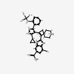 O=C(O)c1cc(F)c2nc(C3=C(c4c(-c5ccccc5OC(F)(F)F)noc4C4CC4)CC34CCNCC4)sc2c1